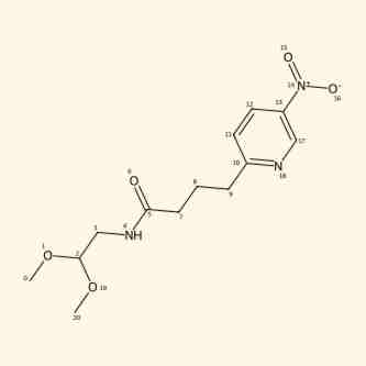 COC(CNC(=O)CCCc1ccc([N+](=O)[O-])cn1)OC